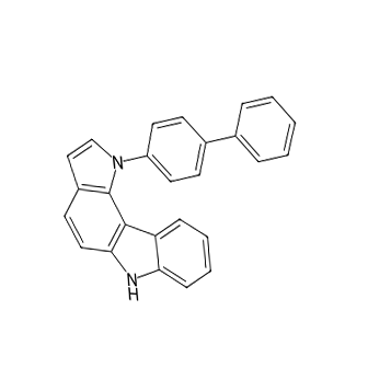 c1ccc(-c2ccc(-n3ccc4ccc5[nH]c6ccccc6c5c43)cc2)cc1